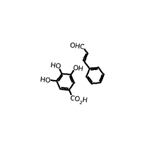 O=C(O)c1cc(O)c(O)c(O)c1.O=CC=Cc1ccccc1